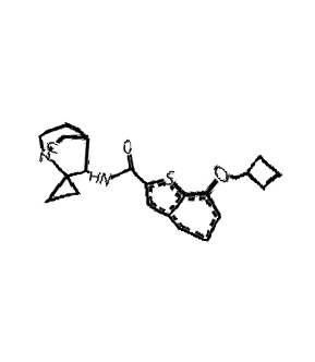 O=C(NC1C2CCN(CC2)C12CC2)c1cc2cccc(OC3CCC3)c2s1